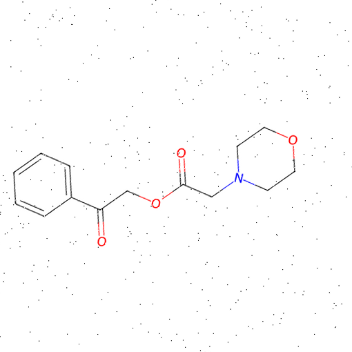 O=C(CN1CCOCC1)OCC(=O)c1ccccc1